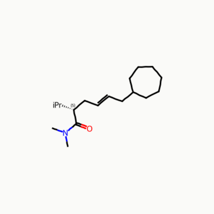 CC(C)[C@H](CC=CCC1CCCCCC1)C(=O)N(C)C